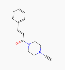 C#CN1CCN(C(=O)/C=C/c2ccccc2)CC1